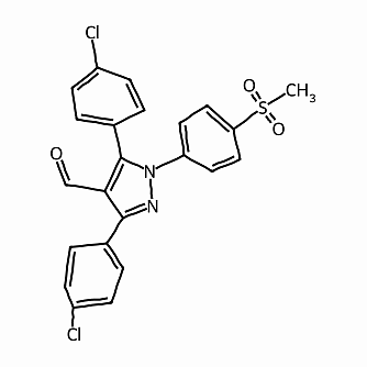 CS(=O)(=O)c1ccc(-n2nc(-c3ccc(Cl)cc3)c(C=O)c2-c2ccc(Cl)cc2)cc1